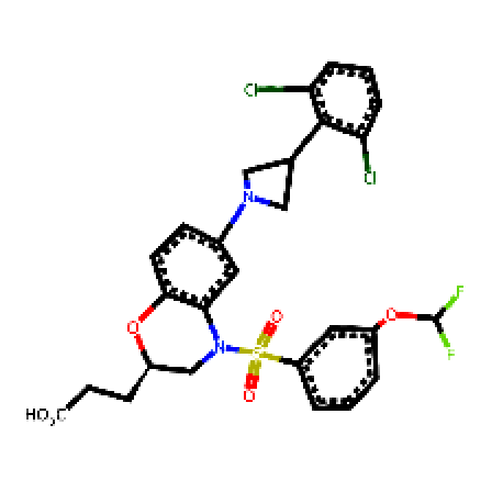 O=C(O)CC[C@@H]1CN(S(=O)(=O)c2cccc(OC(F)F)c2)c2cc(N3CC(c4c(Cl)cccc4Cl)C3)ccc2O1